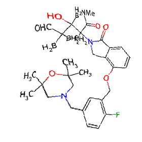 BC(B)(C=O)C(B)(O)C(B)(C(=O)NC)N1Cc2c(OCc3cc(CN4CC(C)(C)OC(C)(C)C4)ccc3F)cccc2C1=O